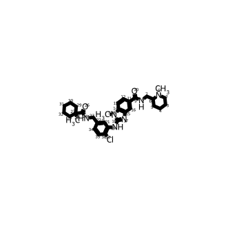 CN1CCCCC1CNC(=O)c1ccc2c(c1)nc(Nc1cc(CNC(=O)C3(C)CCCCC3)ccc1Cl)n2C